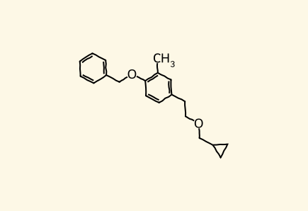 Cc1cc(CCOCC2CC2)ccc1OCc1ccccc1